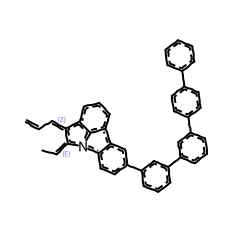 C=C/C=c1\c(=C/C)n2c3ccc(-c4cccc(-c5cccc(-c6ccc(-c7ccccc7)cc6)c5)c4)cc3c3cccc1c32